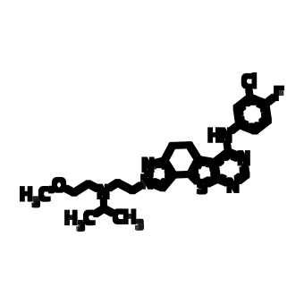 COCCN(CCn1cc2c(n1)CCc1c-2sc2ncnc(Nc3ccc(F)c(Cl)c3)c12)C(C)C